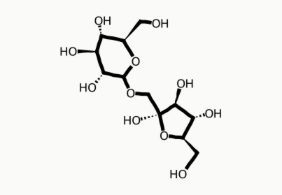 OC[C@H]1O[C@@](O)(COC2O[C@H](CO)[C@@H](O)[C@H](O)[C@H]2O)[C@@H](O)[C@@H]1O